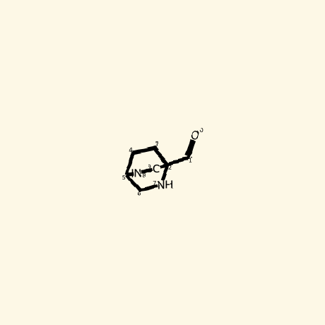 O=[C]C12CCC(CN1)NC2